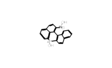 O[P@@](Cl)c1ccc2ccccc2c1-c1c([P@@](O)Cl)ccc2ccccc12